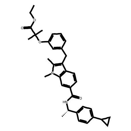 CCOC(=O)C(C)(C)Oc1cccc(Cc2c(C)n(C)c3cc(C(=O)N[C@@H](C)c4ccc(C5CC5)cc4)ccc23)c1